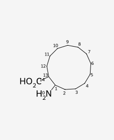 NC1CCCCCCCCCCCC1C(=O)O